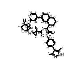 Cc1n[nH]c(C)c1-c1ccc(NC(=O)[C@@H](NC(=O)C2(F)CC2)C2CCCc3ccc(-c4ccnc(N5C[C@H]6C[C@@H]5CO6)c4)cc32)cc1